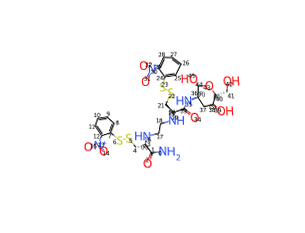 NC(=O)[C@H](CSSc1ccccc1[N+](=O)[O-])NCCN[C@@H](CSSc1ccccc1[N+](=O)[O-])C(=O)N[C@@H]1C[C@H](O)[C@@H](CO)OC1O